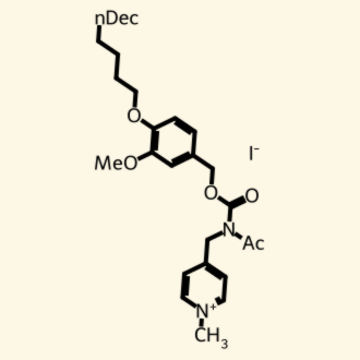 CCCCCCCCCCCCCCOc1ccc(COC(=O)N(Cc2cc[n+](C)cc2)C(C)=O)cc1OC.[I-]